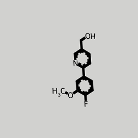 COc1cc(-c2ccc(CO)cn2)ccc1F